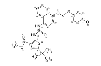 COC(=O)c1cc(C(C)(C)C)sc1NC(=O)Nc1ccc(OCCN2CC[S+]([O-])CC2)c2ccccc12